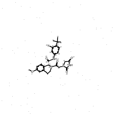 COc1ccc2c(c1)CCN(C(=O)CN1CC(=O)NC1=O)[C@H]2C(=O)Nc1ccc(C(C)(C)C)c(F)c1